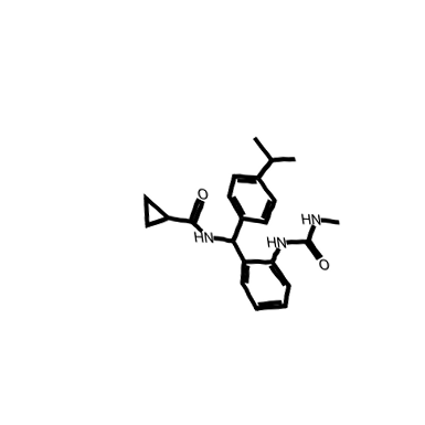 CNC(=O)Nc1ccccc1C(NC(=O)C1CC1)c1ccc(C(C)C)cc1